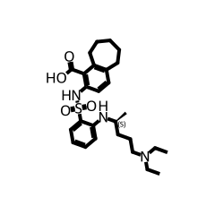 CCN(CC)CCC[C@H](C)Nc1ccccc1S(=O)(=O)Nc1ccc2c(c1C(=O)O)CCCCC2